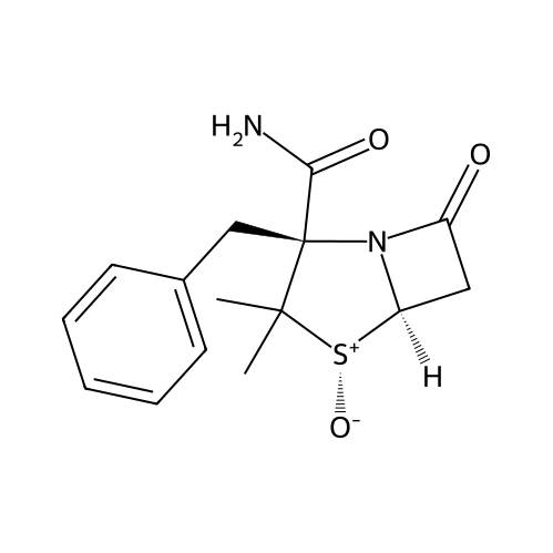 CC1(C)[S@@+]([O-])[C@@H]2CC(=O)N2[C@@]1(Cc1ccccc1)C(N)=O